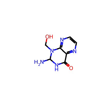 NC1NC(=O)c2nccnc2N1CO